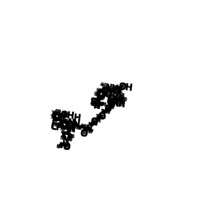 C=CC(=O)N1CCC(c2nc(NCCC(=O)N(C)CCOCCOCCOCC(=O)N[C@H](C(=O)N3C[C@H](O)C[C@H]3C(=O)N[C@@H](C)c3ccc(-c4scnc4C)cc3)C(C)(C)C)nc3c(F)c(-c4c(O)cccc4F)c(Cl)cc23)CC1